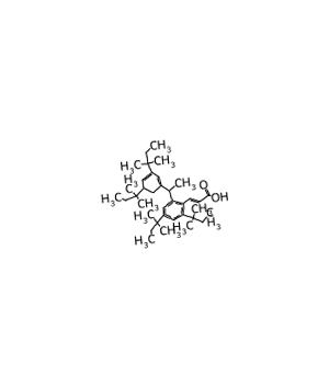 CCC(C)(C)C1=CC(C(C)(C)CC)CC(C(C)c2cc(C(C)(C)CC)cc(C(C)(C)CC)c2C=CC(=O)O)=C1